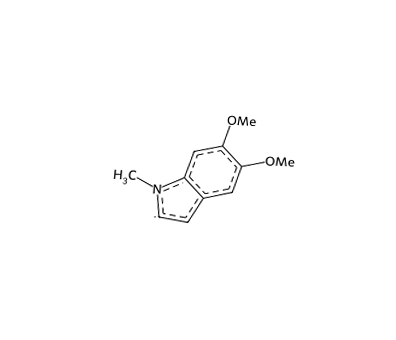 COc1cc2c[c]n(C)c2cc1OC